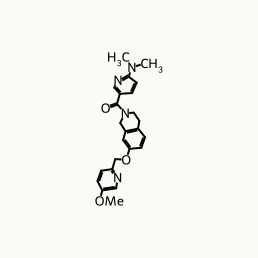 COc1ccc(COc2ccc3c(c2)CN(C(=O)c2ccc(N(C)C)nc2)CC3)nc1